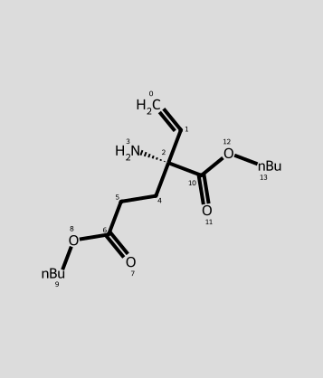 C=C[C@](N)(CCC(=O)OCCCC)C(=O)OCCCC